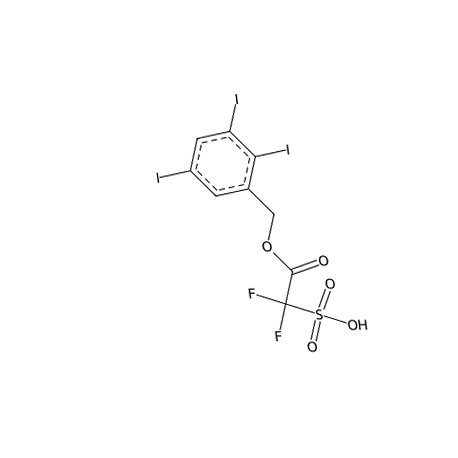 O=C(OCc1cc(I)cc(I)c1I)C(F)(F)S(=O)(=O)O